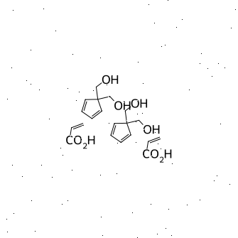 C=CC(=O)O.C=CC(=O)O.OCC1(CO)C=CC=C1.OCC1(CO)C=CC=C1